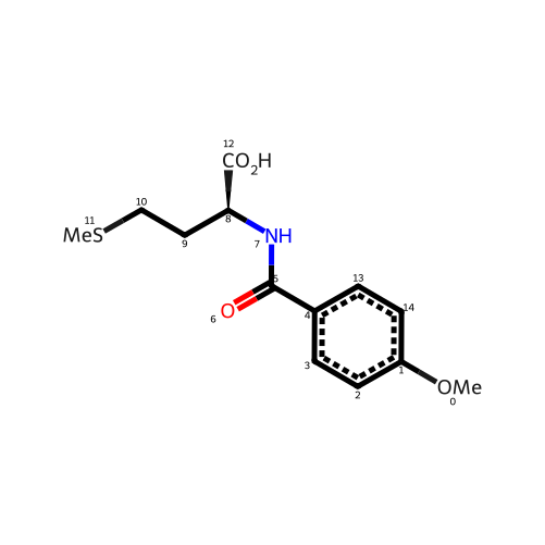 COc1ccc(C(=O)N[C@@H](CCSC)C(=O)O)cc1